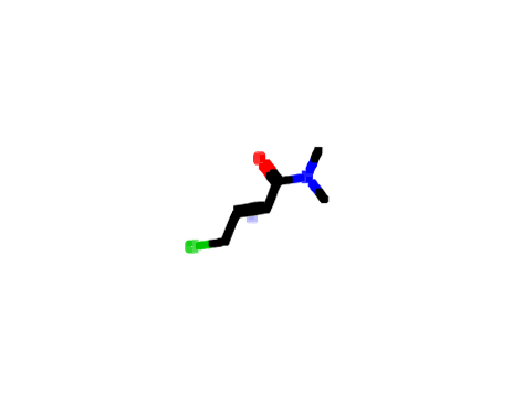 CN(C)C(=O)/C=C/CCl